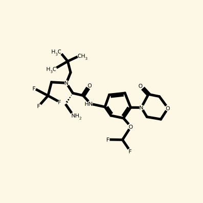 CC(C)(C)CN(CC(F)(F)F)[C@@H](CN)C(=O)Nc1ccc(N2CCOCC2=O)c(OC(F)F)c1